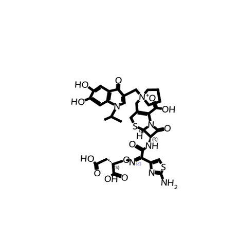 CC(C)n1cc(C[N+]2(CC3=C(C(=O)O)N4C(=O)[C@@H](NC(=O)/C(=N\O[C@@H](CC(=O)O)C(=O)O)c5csc(N)n5)[C@H]4SC3)CCCC2)c(=O)c2cc(O)c(O)cc21